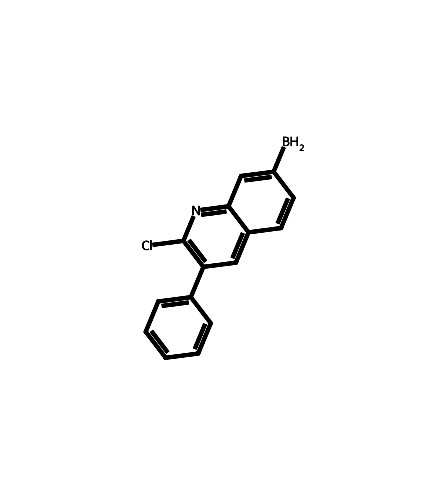 Bc1ccc2cc(-c3ccccc3)c(Cl)nc2c1